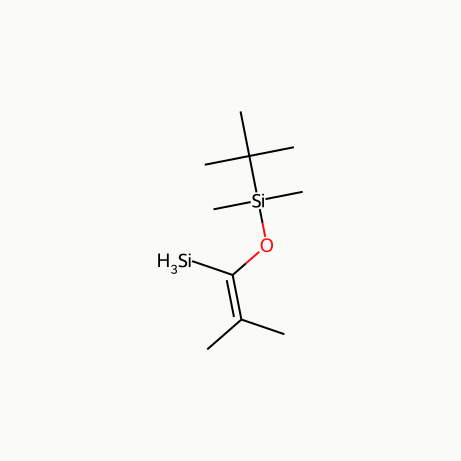 CC(C)=C([SiH3])O[Si](C)(C)C(C)(C)C